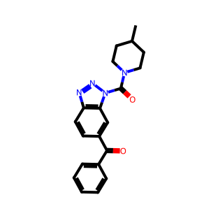 CC1CCN(C(=O)n2nnc3ccc(C(=O)c4ccccc4)cc32)CC1